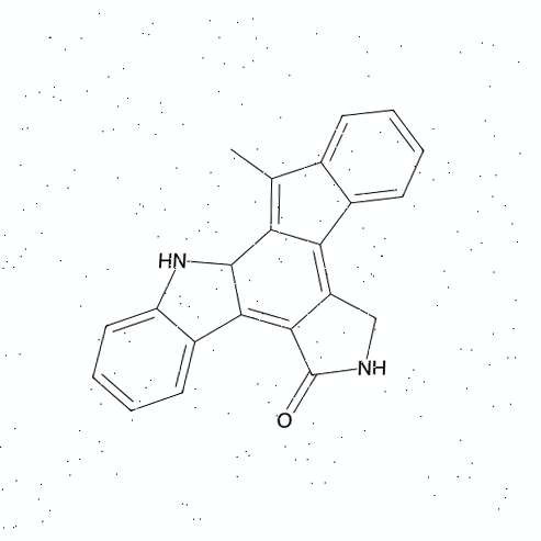 CC1=C2C(=C3CNC(=O)C3=C3c4ccccc4NC23)c2ccccc21